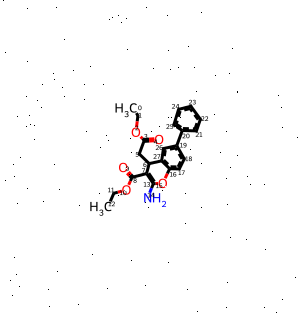 CCOC(=O)CC1C(C(=O)OCC)=C(N)Oc2ccc(-c3ccccc3)cc21